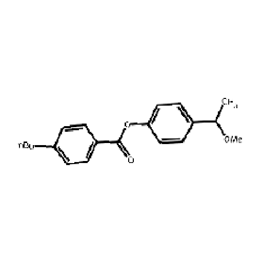 CCCCc1ccc(C(=O)Oc2ccc(C(C)OC)cc2)cc1